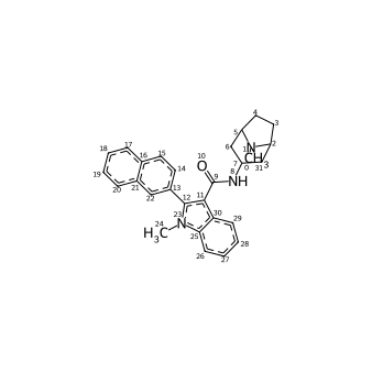 CN1C2CCC1CC(NC(=O)c1c(-c3ccc4ccccc4c3)n(C)c3ccccc13)C2